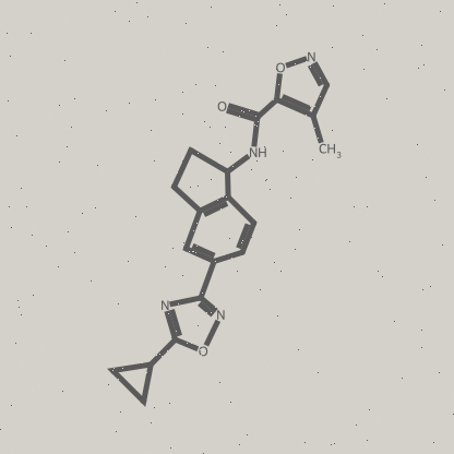 Cc1cnoc1C(=O)NC1CCc2cc(-c3noc(C4CC4)n3)ccc21